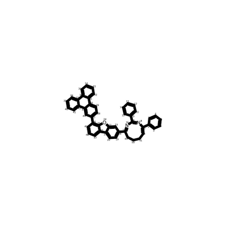 C1=C(c2ccccc2)/N=C(c2ccccc2)\N=C(\c2ccc3c(c2)oc2c(-c4ccc5c6ccccc6c6ccccc6c5c4)cccc23)CCC\1